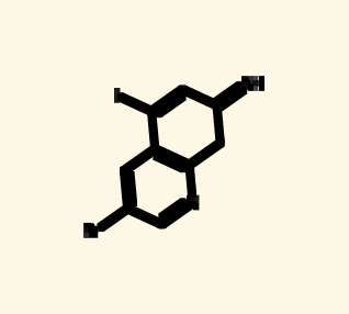 N=C1C=C(I)c2cc(Br)cnc2C1